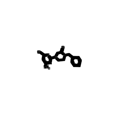 Nc1cc(Cl)nc(N2CCN(Cc3ccccc3)C(=O)C2)n1